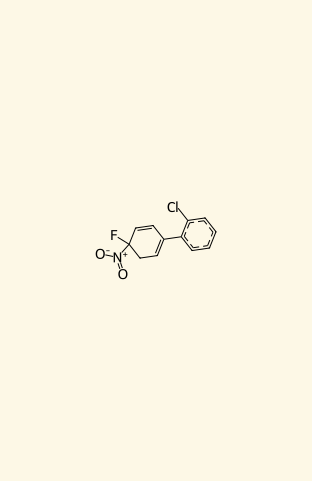 O=[N+]([O-])C1(F)C=CC(c2ccccc2Cl)=CC1